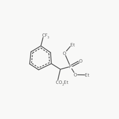 CCOC(=O)C(c1cccc(C(F)(F)F)c1)P(=O)(OCC)OCC